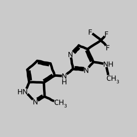 CNc1nc(Nc2cccc3[nH]nc(C)c23)ncc1C(F)(F)F